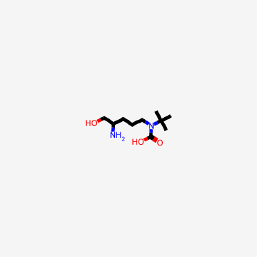 CC(C)(C)N(CCCC(N)CO)C(=O)O